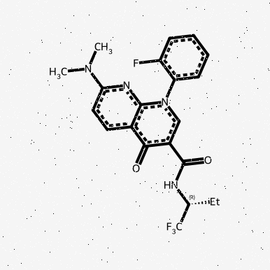 CC[C@@H](NC(=O)c1cn(-c2ccccc2F)c2nc(N(C)C)ccc2c1=O)C(F)(F)F